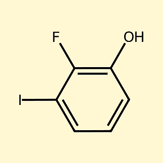 Oc1cccc(I)c1F